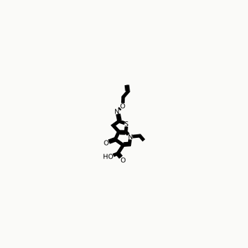 C=CCON=C1Cc2c(n(CC)cc(C(=O)O)c2=O)S1